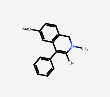 COc1ccc2c(c1)C(c1ccccc1)=C(C#N)N(C)C2